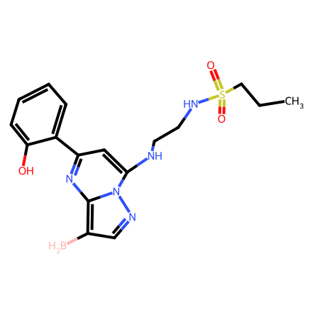 Bc1cnn2c(NCCNS(=O)(=O)CCC)cc(-c3ccccc3O)nc12